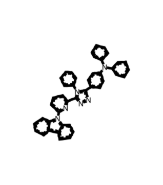 c1ccc(N(c2ccccc2)c2ccc(-c3nnc(-c4cccc(-n5c6ccccc6c6ccccc65)n4)n3-c3ccccc3)cc2)cc1